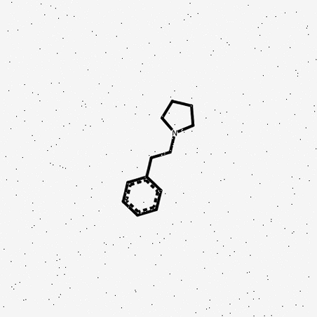 c1ccc(CCN2CCCC2)cc1